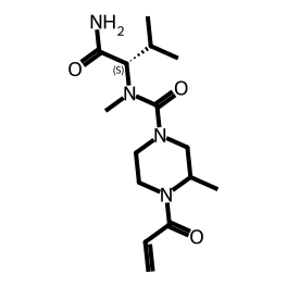 C=CC(=O)N1CCN(C(=O)N(C)[C@H](C(N)=O)C(C)C)CC1C